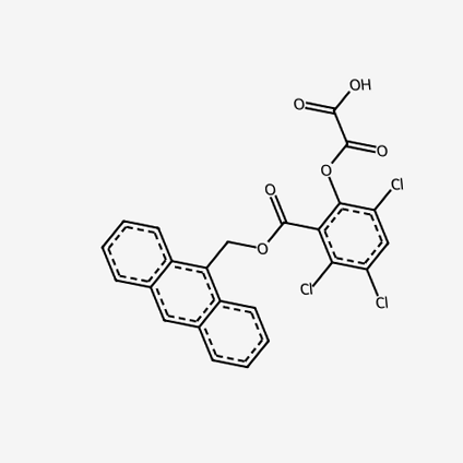 O=C(O)C(=O)Oc1c(Cl)cc(Cl)c(Cl)c1C(=O)OCc1c2ccccc2cc2ccccc12